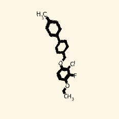 CCOc1ccc(OCC2CCC(C3CCC(C)CC3)CC2)c(Cl)c1F